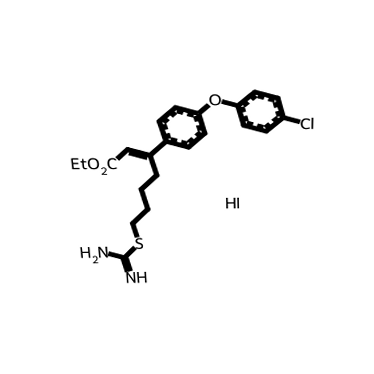 CCOC(=O)C=C(CCCCSC(=N)N)c1ccc(Oc2ccc(Cl)cc2)cc1.I